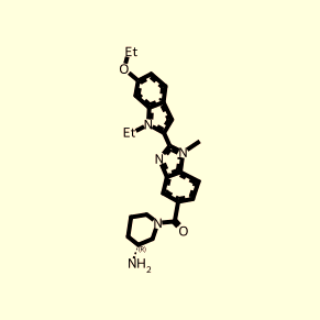 CCOc1ccc2cc(-c3nc4cc(C(=O)N5CCC[C@@H](N)C5)ccc4n3C)n(CC)c2c1